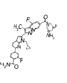 Cc1c(-c2cc3ccc(-c4ccc(C(N)=O)c(F)c4)nc3n2CC2CC2)nn2cc(C(=O)N3C[C@H](N)C[C@@H](F)C3)cc(F)c12